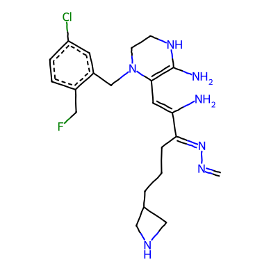 C=N/N=C(CCCC1CNC1)/C(N)=C/C1=C(N)NCCN1Cc1cc(Cl)ccc1CF